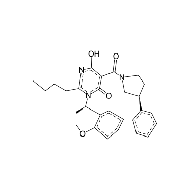 CCCCc1nc(O)c(C(=O)N2CC[C@@H](c3ccccc3)C2)c(=O)n1[C@H](C)c1ccccc1OC